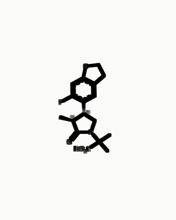 CCOC(=O)C(C)(C)N1C[C@@H](c2cc3c(cc2F)OCC3)[C@H](C)C1=O